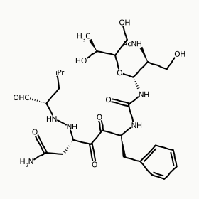 CC(=O)N[C@@H](CO)[C@H](NC(=O)N[C@@H](Cc1ccccc1)C(=O)C(=O)[C@H](CC(N)=O)NN[C@H](C=O)CC(C)C)OC(CO)[C@H](C)O